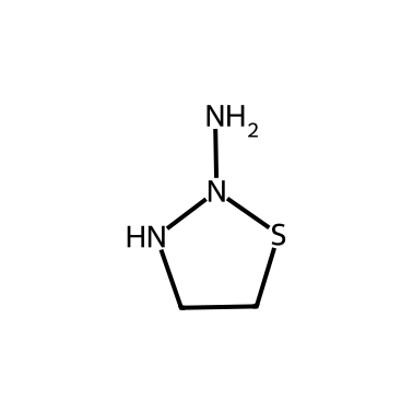 NN1NCCS1